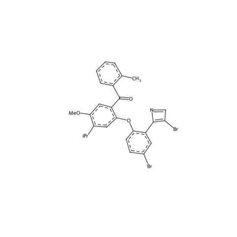 COc1cc(C(=O)c2ccccc2C)c(Oc2ccc(Br)cc2C2=C(Br)C=N2)cc1C(C)C